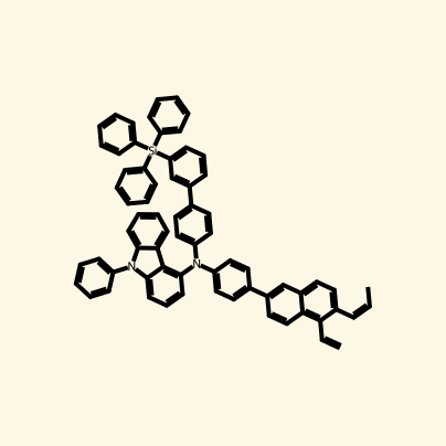 C=Cc1c(/C=C\C)ccc2cc(-c3ccc(N(c4ccc(-c5cccc([Si](c6ccccc6)(c6ccccc6)c6ccccc6)c5)cc4)c4cccc5c4c4ccccc4n5-c4ccccc4)cc3)ccc12